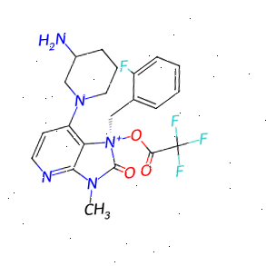 CN1C(=O)[N@+](Cc2ccccc2F)(OC(=O)C(F)(F)F)c2c(N3CCCC(N)C3)ccnc21